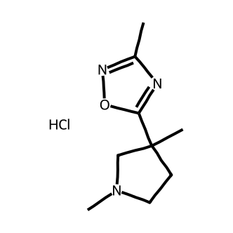 Cc1noc(C2(C)CCN(C)C2)n1.Cl